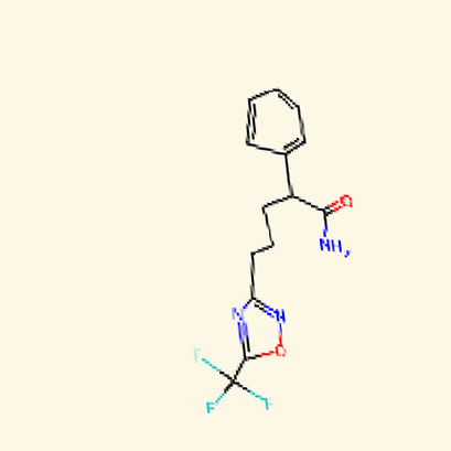 NC(=O)C(CCCc1noc(C(F)(F)F)n1)c1ccccc1